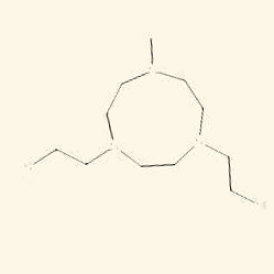 CN1CCN(CCN)CCN(CCN)CC1